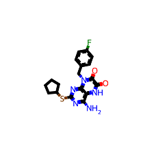 Nc1nc(SC2CCCC2)nc2c1[nH]c(=O)c(=O)n2Cc1ccc(F)cc1